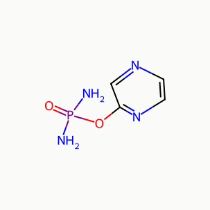 NP(N)(=O)Oc1cnccn1